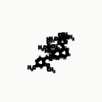 COc1cc(C)ccc1CNc1nc2cccc(B3OC(C)(C)C(C)(C)O3)c2nc1NC(C)(C)C